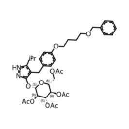 CC(=O)OC[C@H]1O[C@@H](Oc2n[nH]c(C(C)C)c2Cc2ccc(OCCCCOCc3ccccc3)cc2)[C@H](OC(C)=O)[C@@H](OC(C)=O)[C@@H]1OC(C)=O